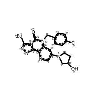 CC(C)(C)c1nnc2c3ncc(N4CCC(O)C4)cc3n(Cc3ccc(Cl)cc3)c(=O)n12